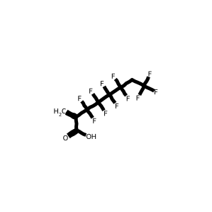 C=C(C(=O)O)C(F)(F)C(F)(F)C(F)(F)C(F)(F)CC(F)(F)F